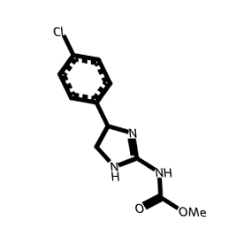 COC(=O)NC1=NC(c2ccc(Cl)cc2)CN1